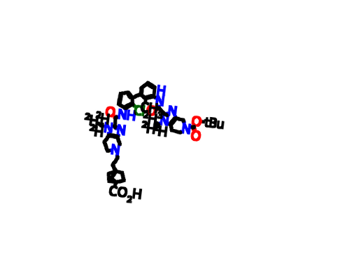 [2H]C([2H])([2H])n1c(C(=O)Nc2cccc(-c3cccc(NC(=O)c4nc5c(n4C([2H])([2H])[2H])CCN(CCC46CCC(C(=O)O)(CC4)C6)C5)c3Cl)c2C)nc2c1CCN(C(=O)OC(C)(C)C)C2